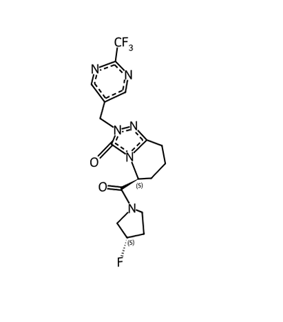 O=C([C@@H]1CCCc2nn(Cc3cnc(C(F)(F)F)nc3)c(=O)n21)N1CC[C@H](F)C1